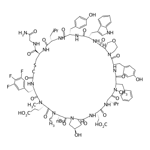 CCCC[C@H]1C(=O)N2C[C@H](O)C[C@@H]2C(=O)N[C@@H](CC(=O)O)C(=O)N[C@@H](C(C)C)C(=O)N(C)C(Cc2ccccc2)C(=O)NC(Cc2ccc(O)cc2)C(=O)N2CCOC[C@@H]2C(=O)N[C@@H](Cc2c[nH]c3ccccc23)C(=O)N[C@@H](Cc2ccc(O)cc2)C(=O)N[C@@H](CC(C)C)C(=O)N[C@H](C(=O)NCC(N)=O)CSCC(=O)N[C@@H](Cc2cc(F)c(F)c(F)c2)C(=O)N(C)[C@@H](CCC(=O)O)C(=O)N1C